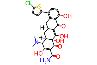 CN(C)[C@@H]1C(O)=C(C(N)=O)C(=O)[C@@]2(O)C(O)=C3C(=O)c4c(O)ccc(-c5ccc(Cl)s5)c4C[C@@H]3C[C@H]12